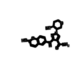 N#C[C@H]1CCOC[C@@H]1n1cc(C(N)=O)c(Nc2ccc3c(c2)C=CB(O)O3)n1